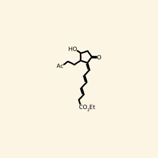 CCOC(=O)CC=CC=CC=C1C(=O)CC(O)C1CCC(C)=O